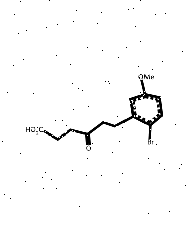 COc1ccc(Br)c(CCC(=O)CCC(=O)O)c1